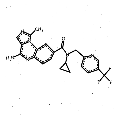 Cc1ncc2c(N)nc3ccc(C(=O)N(Cc4ccc(C(F)(F)F)cn4)C4CC4)cc3n12